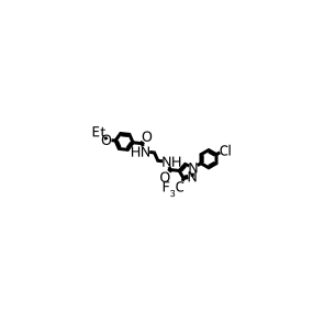 CCOc1ccc(C(=O)NCCNC(=O)c2cn(-c3ccc(Cl)cc3)nc2C(F)(F)F)cc1